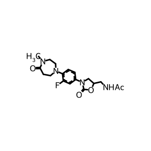 CC(=O)NCC1CN(c2ccc(N3CCC(=O)N(C)CC3)c(F)c2)C(=O)O1